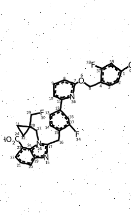 N#Cc1ccc(COc2cccc(-c3ccc(Cc4nc5cccc(C(=O)O)c5n4CC4(CF)CC4)c(F)c3)n2)c(F)c1